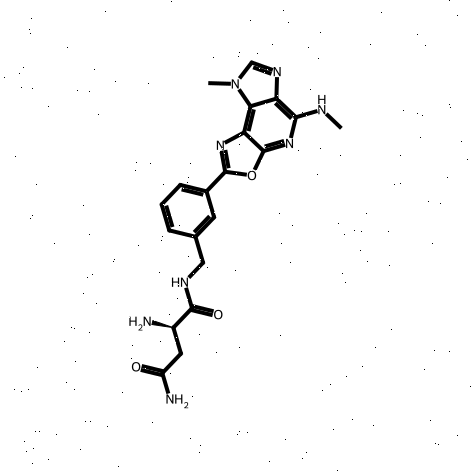 CNc1nc2oc(-c3cccc(CNC(=O)[C@H](N)CC(N)=O)c3)nc2c2c1ncn2C